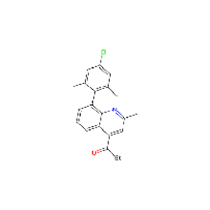 CCC(=O)c1cc(C)nc2c(-c3c(C)cc(Cl)cc3C)cccc12